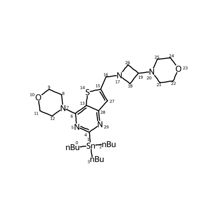 CCC[CH2][Sn]([CH2]CCC)([CH2]CCC)[c]1nc(N2CCOCC2)c2sc(CN3CC(N4CCOCC4)C3)cc2n1